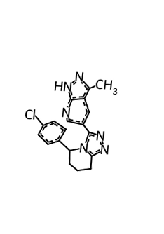 Cc1n[nH]c2ncc(-c3nnc4n3C(c3ccc(Cl)cc3)CCC4)cc12